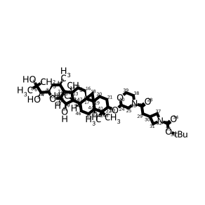 C[C@@H]1C[C@H]([C@H](O)C(C)(C)O)O[C@H]2C1[C@@]1(C)CC[C@@]34CC35CCC(OC3CN(C(=O)CC6CN(C(=O)OC(C)(C)C)C6)CCO3)C(C)(C)[C@@H]5CC[C@H]4[C@]1(C)[C@H]2O